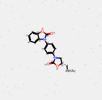 CC(=O)NC[C@H]1CN(c2ccc(-n3c(=O)oc4ccccc43)cc2)C(=O)O1